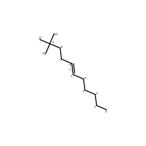 CCCCC/C=C/CCC(C)(C)C